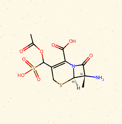 CC(=O)OC(C1=C(C(=O)O)N2C(=O)[C@](C)(N)[C@H]2SC1)S(=O)(=O)O